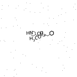 CC(C)(OC(=O)CCCc1ccccc1)C1CCNCC1